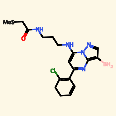 Bc1cnn2c(NCCCNC(=O)CSC)cc(C3=C(Cl)CCC=C3)nc12